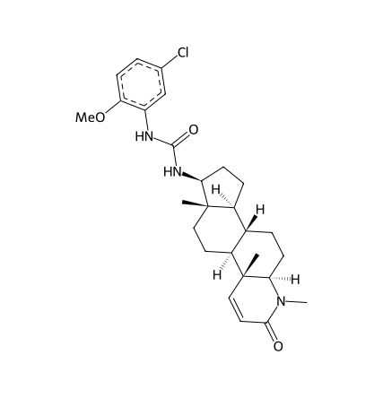 COc1ccc(Cl)cc1NC(=O)N[C@H]1CC[C@H]2[C@@H]3CC[C@H]4N(C)C(=O)C=C[C@]4(C)[C@H]3CC[C@]12C